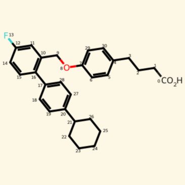 O=C(O)CCCc1ccc(OCc2cc(F)ccc2-c2ccc(C3CCCCC3)cc2)cc1